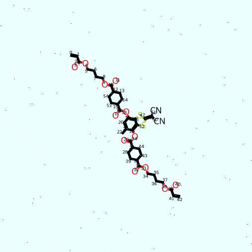 C=CC(=O)OCCCCOC(=O)C1CCC(C(=O)Oc2cc(C)c(OC(=O)C3CCC(C(=O)OCCCCOC(=O)C=C)CC3)c3c2SC(=C(C#N)C#N)S3)CC1